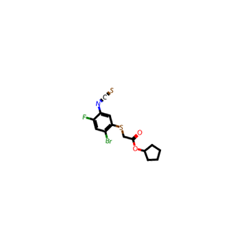 O=C(CSc1cc(N=C=S)c(F)cc1Br)OC1CCCC1